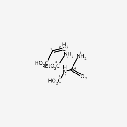 C=CC(=O)O.CCOC(N)=O.NC(=O)NC(=O)O